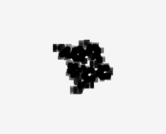 C[C@H]1CN(c2ccncc2NCc2ccc(F)c(-c3c(F)cc(CC(C)(C)O)cc3F)n2)C[C@@H](NC(=O)O)[C@@H]1O[Si](C)(C)C(C)(C)C